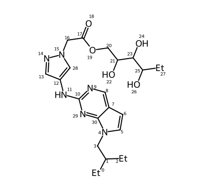 CCC(CC)Cn1ccc2cnc(Nc3cnn(CC(=O)OCC(O)C(O)C(O)CC)c3)nc21